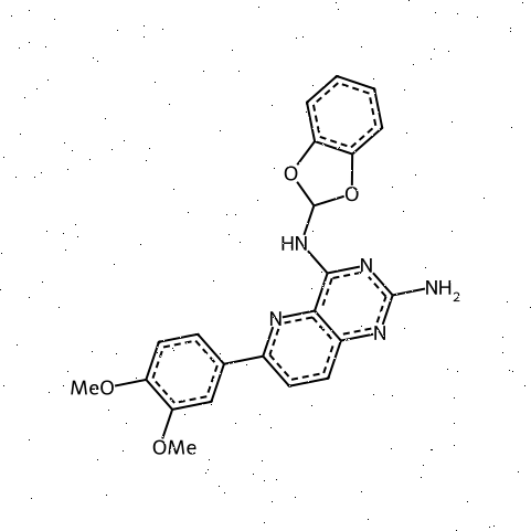 COc1ccc(-c2ccc3nc(N)nc(NC4Oc5ccccc5O4)c3n2)cc1OC